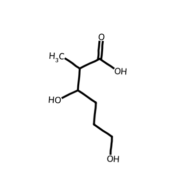 CC(C(=O)O)C(O)CCCO